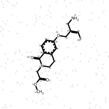 COC(=O)CN1CCc2cc(OC/C(=C\F)CN)ccc2C1=O